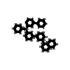 c1ccc(-c2cccc(N(c3ccccc3)c3cccc(-c4cccc(-c5cccc6ccccc56)c4)c3)c2)cc1